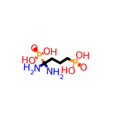 NC(N)(CCCP(=O)(O)O)P(=O)(O)O